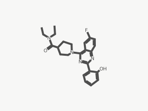 CCN(CC)C(=O)C1CCN(c2nc(-c3ccccc3O)nc3ccc(F)cc23)CC1